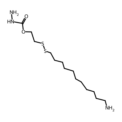 NCCCCCCCCCCCSSCCOC(=O)NN